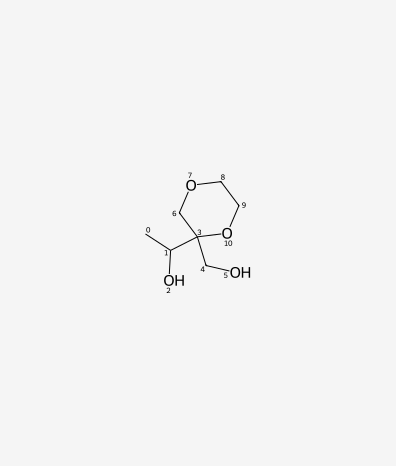 CC(O)C1(CO)COCCO1